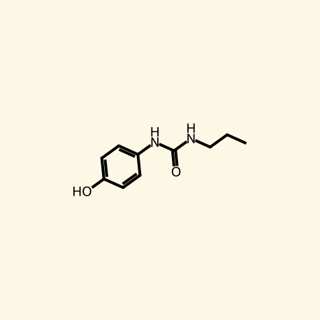 CCCNC(=O)Nc1ccc(O)cc1